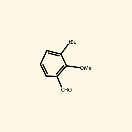 COc1c(C=O)cccc1C(C)(C)C